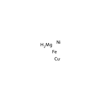 [Cu].[Fe].[MgH2].[Ni]